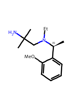 CCN(CC(C)(C)N)[C@@H](C)c1ccccc1OC